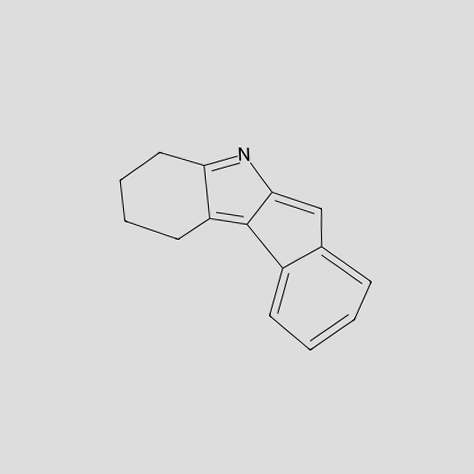 C1=C2N=C3CCCCC3=C2c2ccccc21